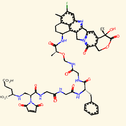 CC[C@@]1(O)C(=O)OCc2c1cc1n(c2=O)Cc2c-1nc1cc(F)c(C)c3c1c2[C@@H](NC(=O)[C@H](C)OCNC(=O)CNC(=O)[C@H](Cc1ccccc1)NC(=O)CNC(=O)CNC(=O)[C@H](CNC(CCC(=O)O)C(=O)O)N1C(=O)C=CC1=O)CC3